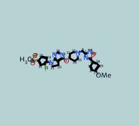 COc1ccc(-c2nc(CN3CCC(Oc4ncnc5c4CCN5c4ccc(S(C)(=O)=O)cc4F)CC3)no2)cc1